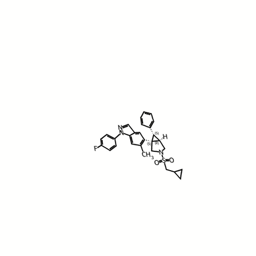 Cc1cc2c(cnn2-c2ccc(F)cc2)cc1[C@@]12CN(S(=O)(=O)CC3CC3)C[C@@H]1[C@H]2c1ccccc1